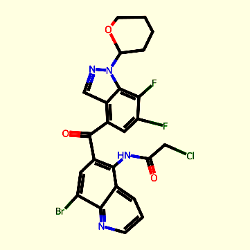 O=C(CCl)Nc1c(C(=O)c2cc(F)c(F)c3c2cnn3C2CCCCO2)cc(Br)c2ncccc12